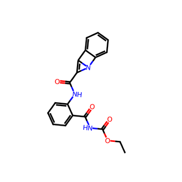 CCOC(=O)NC(=O)c1ccccc1NC(=O)c1c2c3ccccc3n1-2